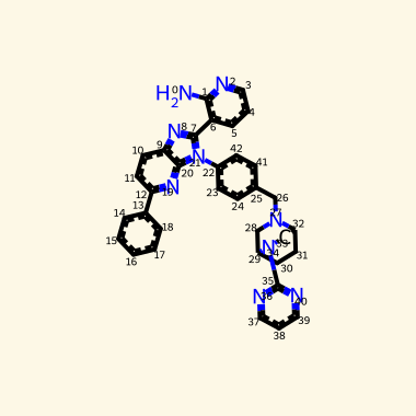 Nc1ncccc1-c1nc2ccc(-c3ccccc3)nc2n1-c1ccc(CN2CC3CCC2CN3c2ncccn2)cc1